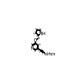 CCCCCCC#Cc1cncc(OC[C@@H]2CCCN2)c1